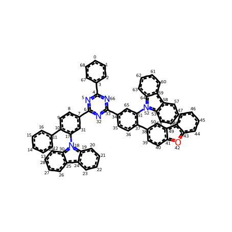 c1ccc(-c2nc(-c3ccc(-c4ccccc4)c(-n4c5ccccc5c5ccccc54)c3)nc(-c3ccc(-c4ccc5oc6ccccc6c5c4)c(-n4c5ccccc5c5ccccc54)c3)n2)cc1